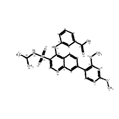 COc1ncc(-c2ccc3c(Nc4cccc(C(=O)O)c4)c(S(=O)(=O)NC(C)C)cnc3c2)c(OC)n1